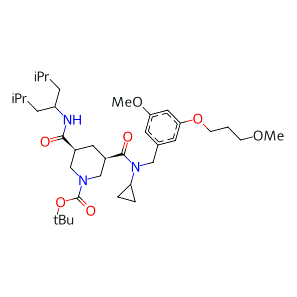 COCCCOc1cc(CN(C(=O)[C@@H]2C[C@H](C(=O)NC(CC(C)C)CC(C)C)CN(C(=O)OC(C)(C)C)C2)C2CC2)cc(OC)c1